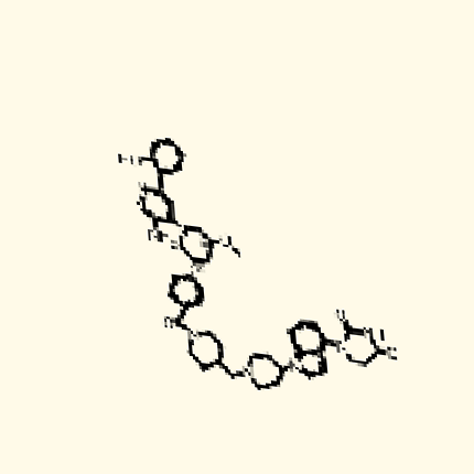 CO[C@@H]1C[C@H](c2ccc(C(=O)N3CCC(CN4CCC(n5ccc6c(N7CCC(=O)NC7=O)cccc65)CC4)CC3)cc2)CN(c2cc(-c3ccccc3O)nnc2N)C1